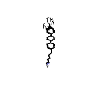 N#Cc1ccc(C2CCC(C3CCC(CCCC/C=C/F)CC3)CC2)cc1F